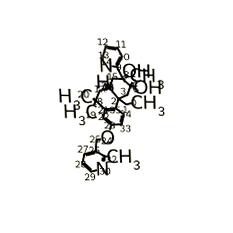 CCC12CC(C)(O)C(O)(c3ccccn3)C[C@H]1CC(C)(C)c1cc(OCc3cccnc3C)ccc12